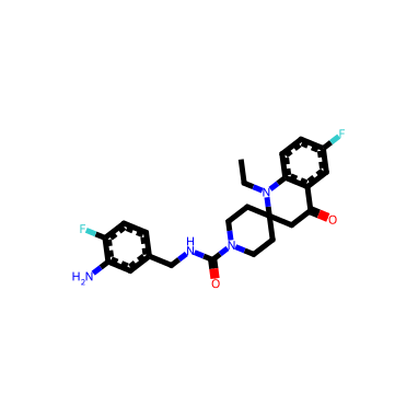 CCN1c2ccc(F)cc2C(=O)CC12CCN(C(=O)NCc1ccc(F)c(N)c1)CC2